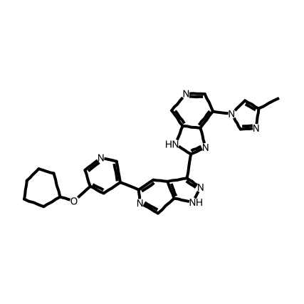 Cc1cn(-c2cncc3[nH]c(-c4n[nH]c5cnc(-c6cncc(OC7CCCCC7)c6)cc45)nc23)cn1